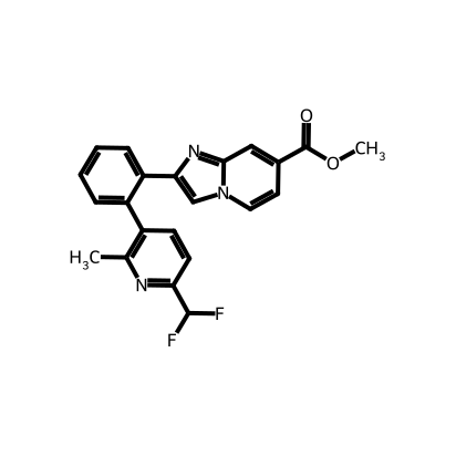 COC(=O)c1ccn2cc(-c3ccccc3-c3ccc(C(F)F)nc3C)nc2c1